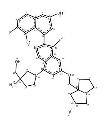 CCc1c(F)ccc2cc(O)cc(-c3ncc4c(N5CCC(C)(CO)C5)nc(OCC56CCCN5C[C@H](F)C6)nc4c3F)c12